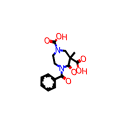 CC1(C(=O)O)CN(C(=O)O)CCN(C(=O)c2ccccc2)C1=O